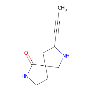 CC#CC1CC2(CCNC2=O)CN1